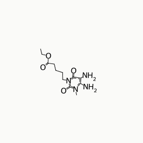 CCOC(=O)CCCCn1c(=O)c(N)c(N)n(C)c1=O